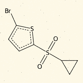 O=S(=O)(c1ccc(Br)s1)C1CC1